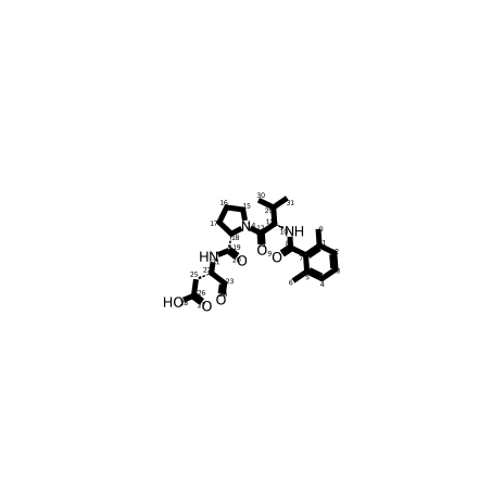 Cc1cccc(C)c1C(=O)N[C@H](C(=O)N1CCC[C@H]1C(=O)N[C@H](C=O)CC(=O)O)C(C)C